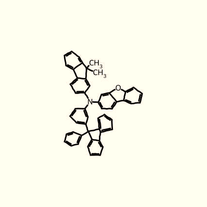 CC1(C)c2ccccc2-c2ccc(N(c3cccc(C4(c5ccccc5)c5ccccc5-c5ccccc54)c3)c3ccc4c(c3)oc3ccccc34)cc21